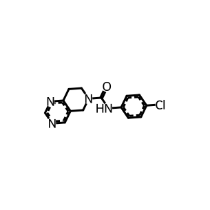 O=C(Nc1ccc(Cl)cc1)N1CCc2ncncc2C1